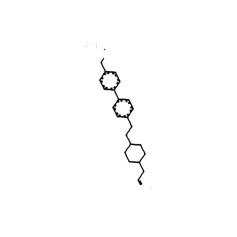 C=CCC1CCC(CCc2ccc(-c3ccc(COCCCCC)cc3)cc2)CC1